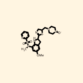 COc1cc2c(c(N(C)S(=O)(=O)c3ccccn3)c1)NC(C1=NCC(CN3CC[S+]([O-])CC3)S1)C2